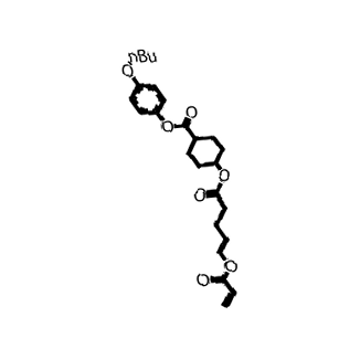 C=CC(=O)OCCCCC(=O)OC1CCC(C(=O)Oc2ccc(OCCCC)cc2)CC1